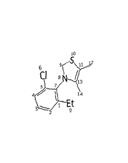 CCc1cccc(Cl)c1N1CSC(C)=C1C